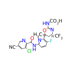 C[C@@]1(c2nc(NC(=O)c3ncc(C#N)cc3Cl)ccc2F)C[C@@H](C(F)(F)F)N=C(NC(=O)O)O1